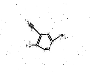 N#Cc1cc(N)ccc1O